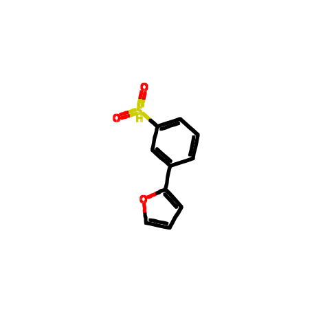 O=[SH](=O)c1cccc(-c2ccco2)c1